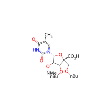 CCCCOC[C@@]1(C(=O)O)O[C@@H](n2cc(C)c(=O)[nH]c2=O)C(ONC)C1OCCCC